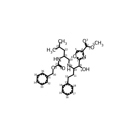 COC(=O)c1coc(C(O)C(CCc2ccccc2)NCC(CC(C)C)NC(=O)OCc2ccccc2)n1